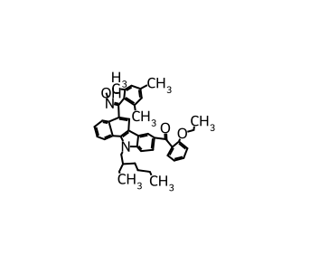 CCCCC(CC)Cn1c2ccc(C(=O)c3ccccc3OCC)cc2c2cc(C(=NO)c3c(C)cc(C)cc3C)c3ccccc3c21